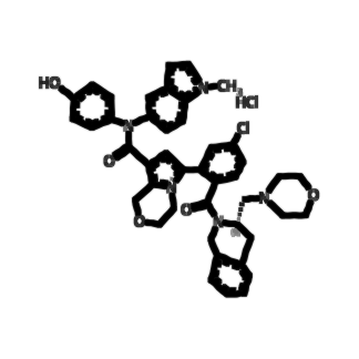 Cl.Cn1ccc2cc(N(C(=O)c3cc(-c4cc(Cl)ccc4C(=O)N4Cc5ccccc5C[C@H]4CN4CCOCC4)n4c3COCC4)c3ccc(O)cc3)ccc21